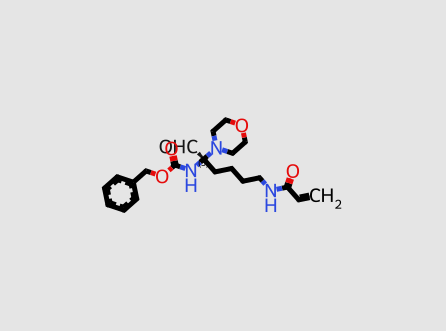 C=CC(=O)NCCCC[C@](C=O)(NC(=O)OCc1ccccc1)N1CCOCC1